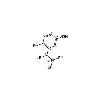 [CH2]Cc1ccc(O)cc1C(F)N(F)F